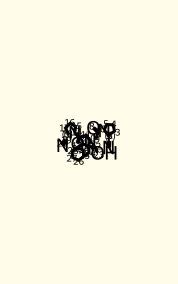 N#C[C@@H]1CCCN1C(=O)CN(CC(=O)N1CCC[C@H]1C#N)C1(CO)CC2CCCC(C2)C1